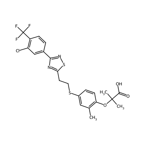 Cc1cc(SCCc2nc(-c3ccc(C(F)(F)F)c(Cl)c3)ns2)ccc1OC(C)(C)C(=O)O